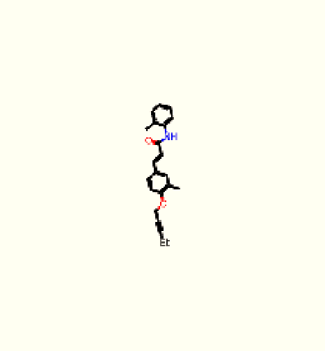 CCC#CCOc1ccc(/C=C/C(=O)Nc2ccccc2C)cc1C